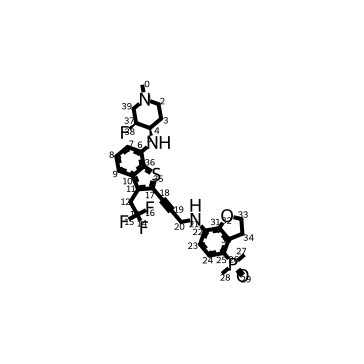 CN1CC[C@@H](Nc2cccc3c(CC(F)(F)F)c(C#CCNc4ccc(P(C)(C)=O)c5c4OCC5)sc23)[C@@H](F)C1